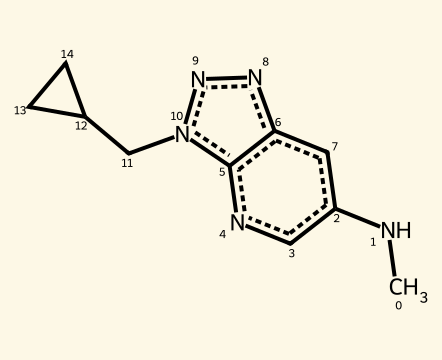 CNc1cnc2c(c1)nnn2CC1CC1